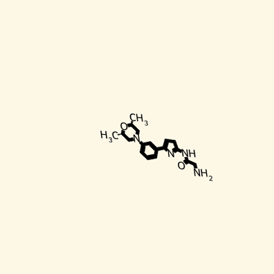 C[C@H]1CN(c2cccc(C3=CCC(NC(=O)CN)=N3)c2)C[C@H](C)O1